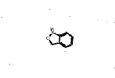 B1O[CH]c2ccccc21